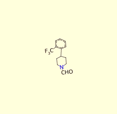 O=CN1CCC(c2ccccc2C(F)(F)F)CC1